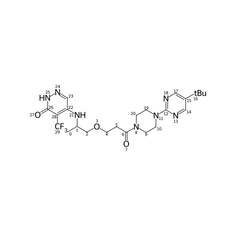 CC(COCCC(=O)N1CCN(c2ncc(C(C)(C)C)cn2)CC1)Nc1cn[nH]c(=O)c1C(F)(F)F